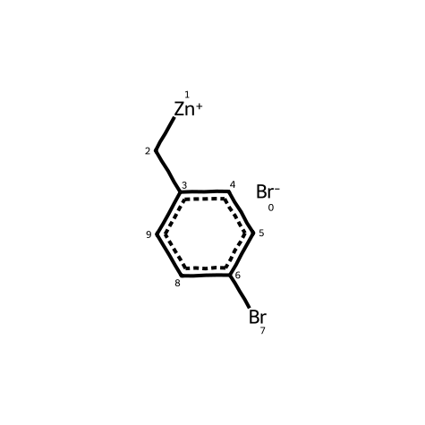 [Br-].[Zn+][CH2]c1ccc(Br)cc1